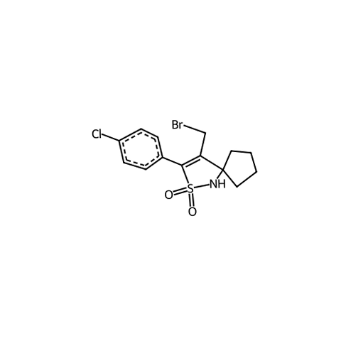 O=S1(=O)NC2(CCCC2)C(CBr)=C1c1ccc(Cl)cc1